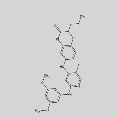 COc1cc(Nc2ncc(F)c(Nc3ccc4c(c3)NC(=O)C(CCO)O4)n2)cc(OC)c1